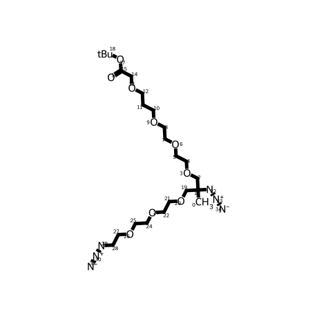 CC(COCCOCCOCCCOCC(=O)OC(C)(C)C)(COCCOCCOCCN=[N+]=[N-])N=[N+]=[N-]